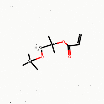 C=CC(=O)OC(C)(C)[SiH2]O[Si](C)(C)C